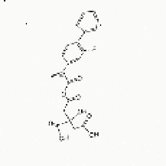 C[C@H](C(=O)OC(=O)CC(O)(CC(=O)O)C(=O)O)c1ccc(-c2ccccc2)c(F)c1